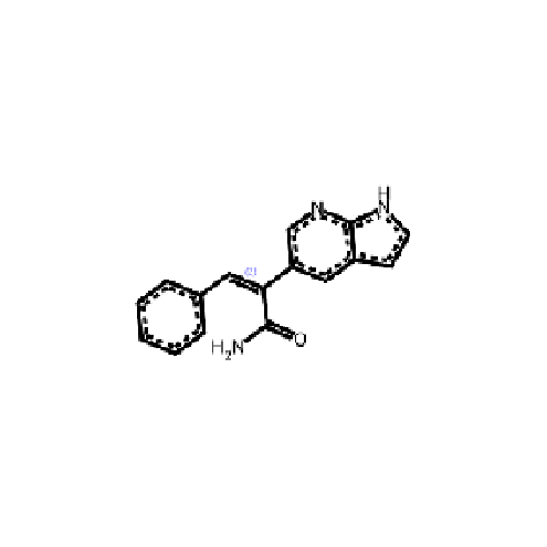 NC(=O)/C(=C\c1ccccc1)c1cnc2[nH]ccc2c1